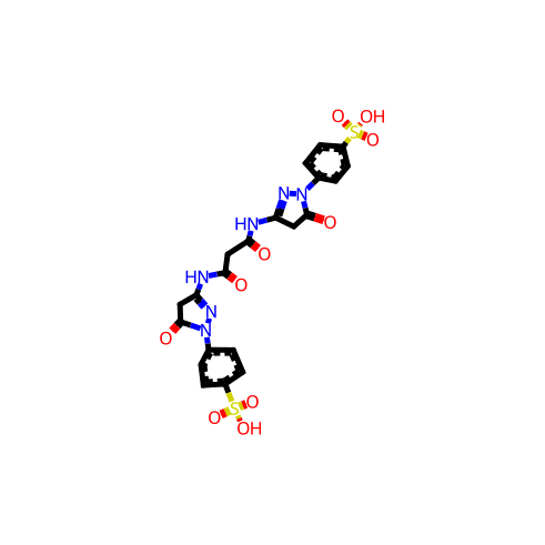 O=C(CC(=O)NC1=NN(c2ccc(S(=O)(=O)O)cc2)C(=O)C1)NC1=NN(c2ccc(S(=O)(=O)O)cc2)C(=O)C1